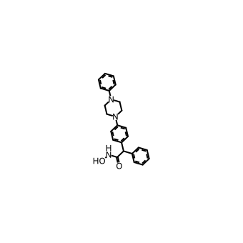 O=C(NO)C(c1ccccc1)c1ccc(N2CCN(c3ccccc3)CC2)cc1